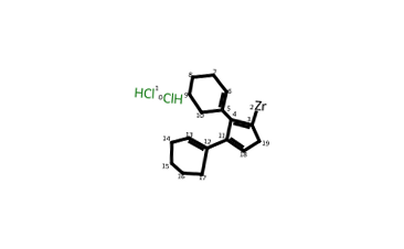 Cl.Cl.[Zr][C]1=C(C2=CCCCC2)C(C2=CCCCC2)=CC1